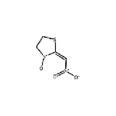 O=[N+]([O-])/C=C1/SCC[S+]1[O-]